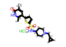 CCc1cc(-c2ccc(S(=O)(=O)NC3CCN(CC4CC4)CC3)s2)c(C)[nH]c1=O.Cl